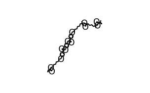 C=CC(=O)OCCCCCCOc1ccc(C(=O)Oc2ccc(OC(=O)c3ccc(OCCCCCCC(C)(C)OC(=O)CCCCC(C)(C)OC(=O)C(=C)C)cc3)cc2)cc1